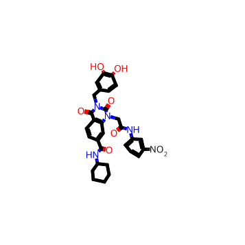 O=C(Cn1c(=O)n(Cc2ccc(O)c(O)c2)c(=O)c2ccc(C(=O)NC3CCCCC3)cc21)Nc1cccc([N+](=O)[O-])c1